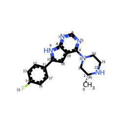 C[C@@H]1CN(c2ncnc3[nH]c(-c4ccc(F)cc4)cc23)CCN1